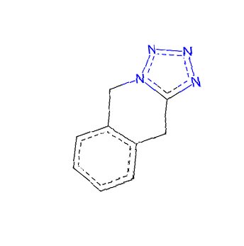 c1ccc2c(c1)Cc1nnnn1C2